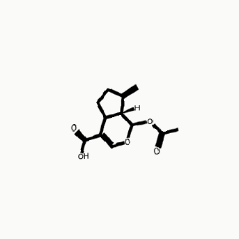 C=C1CCC2C(C(=O)O)=COC(OC(C)=O)[C@@H]12